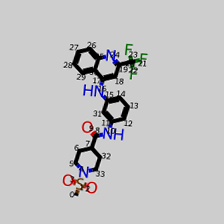 CS(=O)(=O)N1CCC(C(=O)Nc2cccc(Nc3cc(C(F)(F)F)nc4ccccc34)c2)CC1